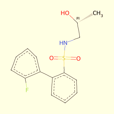 C[C@@H](O)CNS(=O)(=O)c1ccccc1-c1ccccc1F